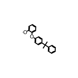 CC(C)(c1ccccc1)c1ccc(Oc2ccccc2[O])cc1